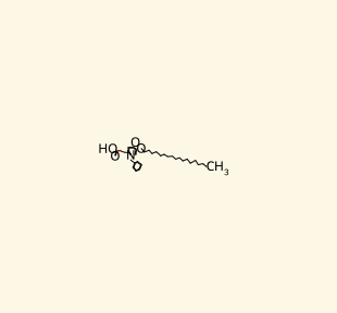 CCCCCCCCCCCCCCCCCCOc1cn(Cc2ccccc2)c(CCC(=O)O)cc1=O